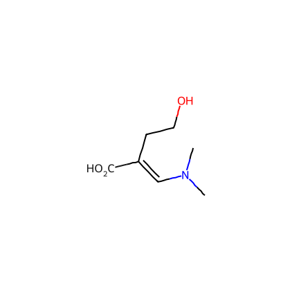 CN(C)C=C(CCO)C(=O)O